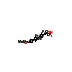 CCC(CC)(c1ccc(C#CC(O)(C(F)(F)F)C(F)(F)F)c(C)c1)c1ccc(-c2ccc(CCOOC)cc2)c(C)c1